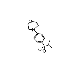 CC(C)C1(c2ccc(N3CCOCC3)cc2)OO1